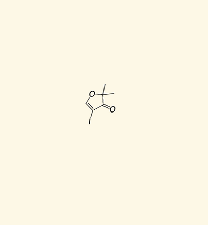 CC1(C)OC=C(I)C1=O